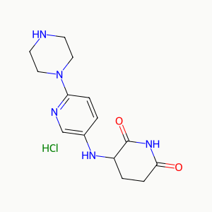 Cl.O=C1CCC(Nc2ccc(N3CCNCC3)nc2)C(=O)N1